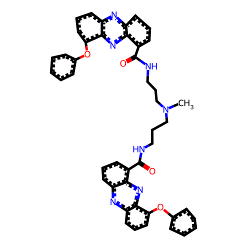 CN(CCCNC(=O)c1cccc2nc3cccc(Oc4ccccc4)c3nc12)CCCNC(=O)c1cccc2nc3cccc(Oc4ccccc4)c3nc12